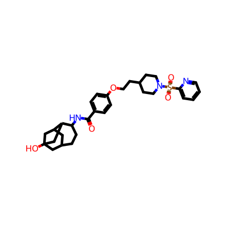 O=C(NC1CCC2CC3CC(O)(C2)CC31)c1ccc(OCCC2CCN(S(=O)(=O)c3ccccn3)CC2)cc1